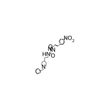 O=C(NCCC1CCN(Cc2ccccc2)CC1)c1noc(C=Cc2ccc([N+](=O)[O-])cc2)n1